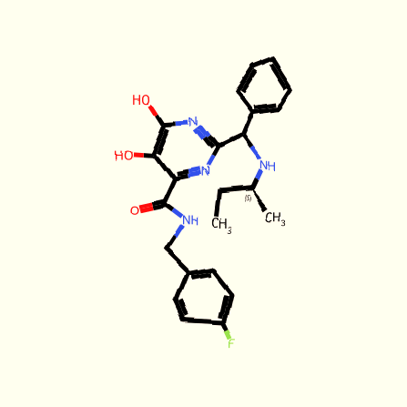 CC[C@H](C)NC(c1ccccc1)c1nc(O)c(O)c(C(=O)NCc2ccc(F)cc2)n1